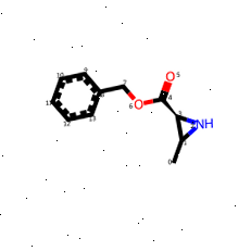 CC1N[C@@H]1C(=O)OCc1ccccc1